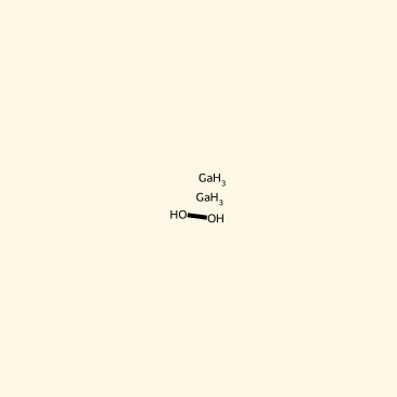 OO.[GaH3].[GaH3]